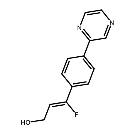 OC/C=C(\F)c1ccc(-c2cnccn2)cc1